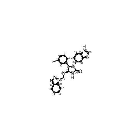 Cc1cccc(C2/C(=N/Cn3nnc4ccccc43)NC(=O)N2c2ccc3[nH]cnc3c2)c1